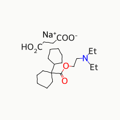 CCN(CC)CCOC(=O)C1(C2CCCCC2)CCCCC1.O=C([O-])CCC(=O)O.[Na+]